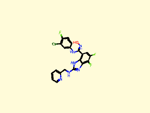 O/N=C(\Nc1ccc(F)c(Cl)c1)c1cc(F)c(F)c2nc(NCc3ccccn3)[nH]c12